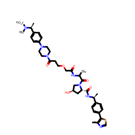 Cc1ncsc1-c1ccc([C@H](C)NC(=O)[C@@H]2C[C@@H](O)CN2C(=O)C(NC(=O)COCCC(=O)N2CCN(c3ccc([C@H](C)N(C(=O)O)C(C)(C)C)cc3)CC2)C(C)(C)C)cc1